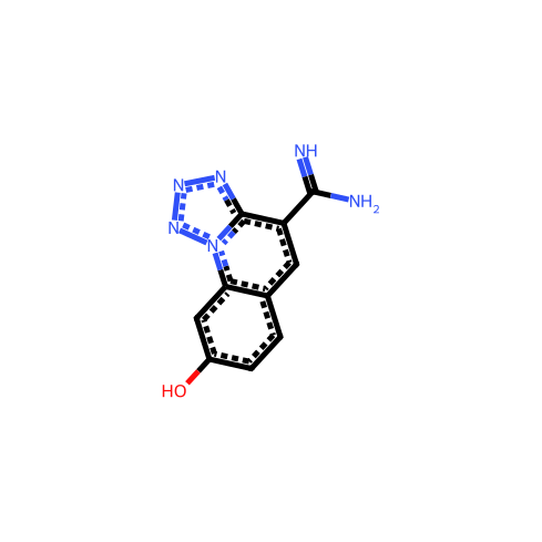 N=C(N)c1cc2ccc(O)cc2n2nnnc12